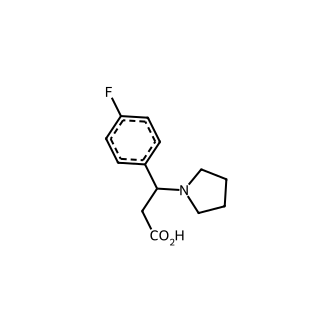 O=C(O)CC(c1ccc(F)cc1)N1CCCC1